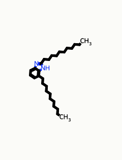 CCCCCCCCCCCc1nc2cccc(CCCCCCCCCCC)c2[nH]1